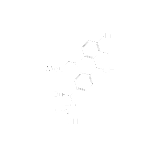 COCOc1ccc(C(C)C)c(F)c1C(O)c1ccc(C(O[SiH](C)C)C(C)(C)C)cc1